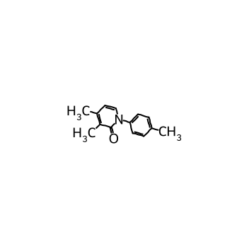 Cc1ccc(-n2ccc(C)c(C)c2=O)cc1